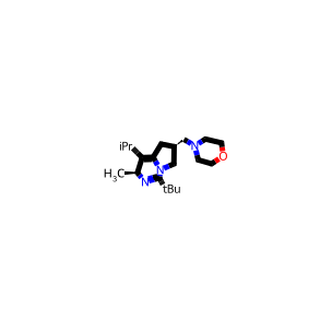 CC(C)C1=C2C[C@H](CN3CCOCC3)CN2C(C(C)(C)C)=N[C@H]1C